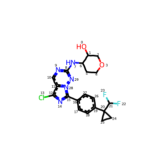 OC1COCCC1Nc1ncc2c(Cl)nc(-c3ccc(C4(C(F)F)CC4)cc3)n2n1